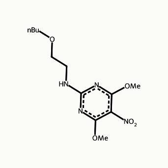 CCCCOCCNc1nc(OC)c([N+](=O)[O-])c(OC)n1